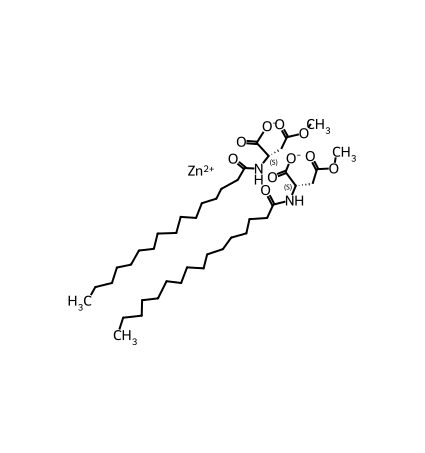 CCCCCCCCCCCCCCCC(=O)N[C@@H](CC(=O)OC)C(=O)[O-].CCCCCCCCCCCCCCCC(=O)N[C@@H](CC(=O)OC)C(=O)[O-].[Zn+2]